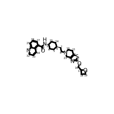 O=C(N[C@H]1CC[C@H](CCN2CCc3sc(OCC4CCO4)nc3C2)CC1)c1cccc2ncccc12